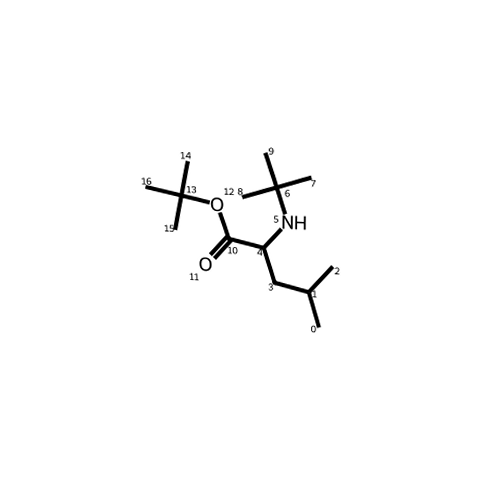 CC(C)CC(NC(C)(C)C)C(=O)OC(C)(C)C